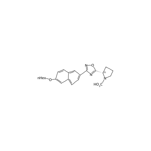 CCCCCCOc1ccc2cc(-c3noc([C@@H]4CCCN4C(=O)O)n3)ccc2c1